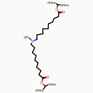 CCCCCCC(CCCCCC)OC(=O)CCCCCCCCCN(CCC)CCCCCCCCCC(=O)OC(CCCCCC)CCCCCC